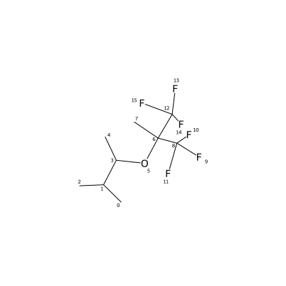 CC(C)C(C)OC(C)(C(F)(F)F)C(F)(F)F